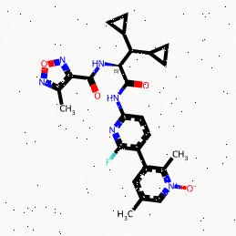 Cc1cc(-c2ccc(NC(=O)[C@@H](NC(=O)c3nonc3C)C(C3CC3)C3CC3)nc2F)c(C)[n+]([O-])c1